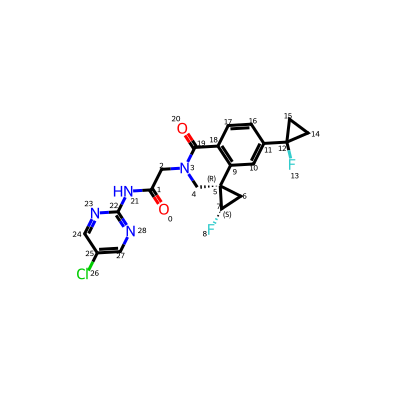 O=C(CN1C[C@@]2(C[C@@H]2F)c2cc(C3(F)CC3)ccc2C1=O)Nc1ncc(Cl)cn1